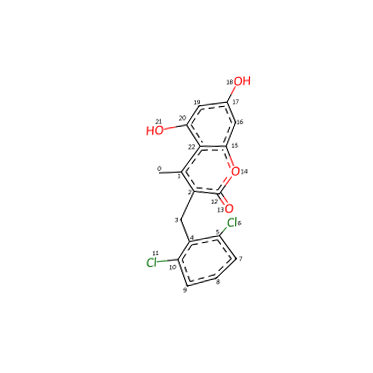 Cc1c(Cc2c(Cl)cccc2Cl)c(=O)oc2cc(O)cc(O)c12